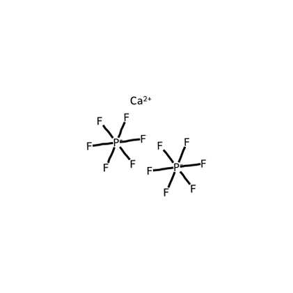 F[P-](F)(F)(F)(F)F.F[P-](F)(F)(F)(F)F.[Ca+2]